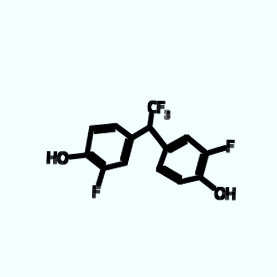 Oc1ccc(C(c2ccc(O)c(F)c2)C(F)(F)F)cc1F